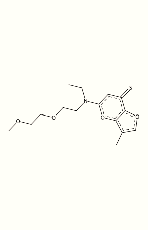 CCN(CCOCCOC)c1cc(=S)c2occ(C)c2o1